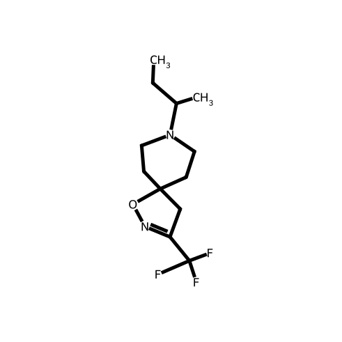 CCC(C)N1CCC2(CC1)CC(C(F)(F)F)=NO2